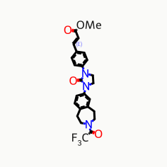 COC(=O)/C=C/c1ccc(N2CCN(c3ccc4c(c3)CCN(C(=O)C(F)(F)F)CC4)C2=O)cc1